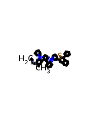 C=C/C=C\c1cc2c(cc1C)c1c3c4ccccc4n(-c4ccc5sc6c(-c7ccccc7)c7ccccc7cc6c5c4)c3ccc1n2-c1ccccc1